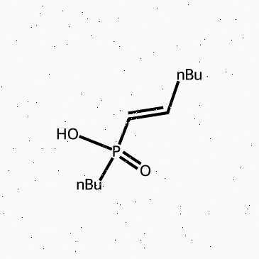 CCCCC=CP(=O)(O)CCCC